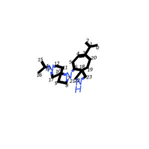 CC(C)C1=CCC(N2CCC23CCN(C(C)C)C3)C2(CC1)CNC2